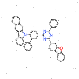 c1ccc(-c2nc(-c3ccc(-n4c5ccccc5c5cc6ccccc6cc54)c(-c4ccccc4)c3)nc(-c3ccc4c(c3)oc3ccccc34)n2)cc1